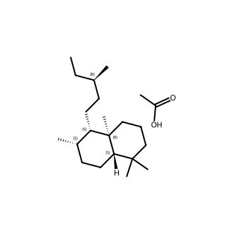 CC(=O)O.CC[C@@H](C)CC[C@H]1[C@@H](C)CC[C@H]2C(C)(C)CCC[C@]12C